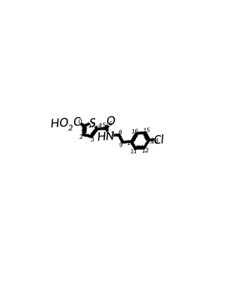 O=C(O)c1ccc(C(=O)NCCc2ccc(Cl)cc2)s1